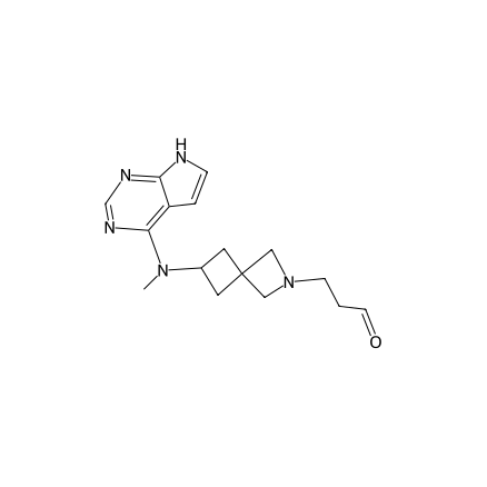 CN(c1ncnc2[nH]ccc12)C1CC2(C1)CN(CCC=O)C2